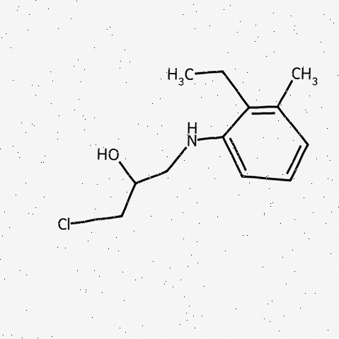 CCc1c(C)cccc1NCC(O)CCl